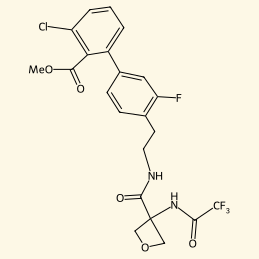 COC(=O)c1c(Cl)cccc1-c1ccc(CCNC(=O)C2(NC(=O)C(F)(F)F)COC2)c(F)c1